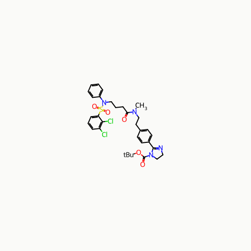 CN(CCc1ccc(C2=NCCN2C(=O)OC(C)(C)C)cc1)C(=O)CCCN(c1ccccc1)S(=O)(=O)c1cccc(Cl)c1Cl